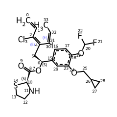 C=C/C(Cl)=C(C[C@H](OC(=O)[C@H]1NCCS1)c1ccc(OC(F)F)c(OCC2CC2)c1)\C(I)=C/C